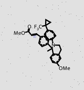 COC(=O)/C=C/c1ccc(C2(C)c3ccc(OC)cc3CCN2c2ccc(C3(C(F)(F)F)CC3)cc2)cc1